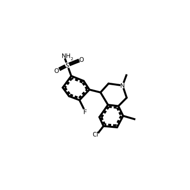 Cc1cc(Cl)cc2c1CN(C)CC2c1cc(S(N)(=O)=O)ccc1F